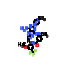 C=C/N=C1/C(N)=NC(N2CCN(C)CC2)=N/C1=C(/N)Nc1cc(C(=O)Nc2cc(OC)cc(C(F)(F)F)c2)ccc1C